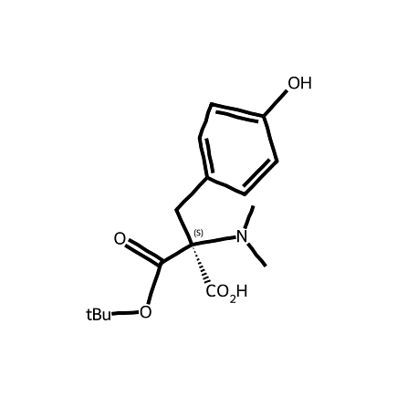 CN(C)[C@@](Cc1ccc(O)cc1)(C(=O)O)C(=O)OC(C)(C)C